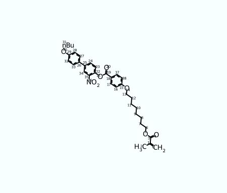 C=C(C)C(=O)OCCCCCCCCOc1ccc(C(=O)Oc2ccc(-c3ccc(OCCCC)cc3)cc2[N+](=O)[O-])cc1